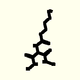 CCCOCCOC(=O)NC(C(=O)NCC)C(=O)NCC